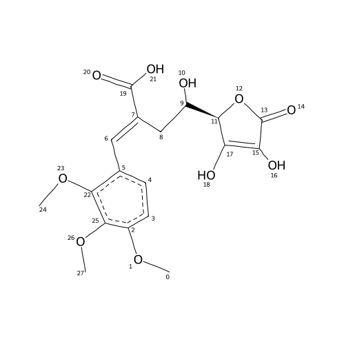 COc1ccc(/C=C(\CC(O)[C@H]2OC(=O)C(O)=C2O)C(=O)O)c(OC)c1OC